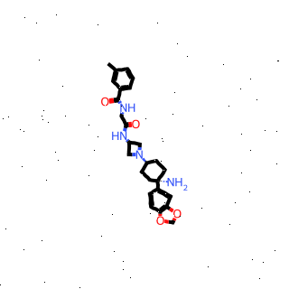 Cc1cccc(C(=O)NCC(=O)NC2CN([C@H]3CC[C@@](N)(c4ccc5c(c4)OCO5)CC3)C2)c1